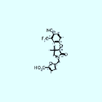 CC1(C)CN(Cc2ccc(C(=O)O)o2)C(=O)C1Oc1ccc(C#N)c(C(F)(F)F)c1